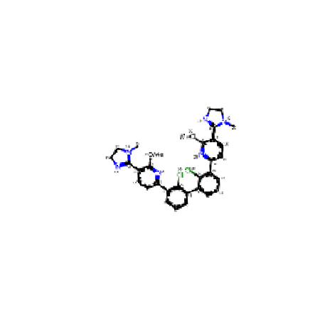 COc1nc(-c2cccc(-c3cccc(-c4ccc(C5=NCCN5C)c(OC)n4)c3Cl)c2Cl)ccc1C1=NCCN1C